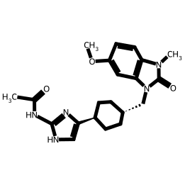 COc1ccc2c(c1)n(C[C@H]1CC[C@H](c3c[nH]c(NC(C)=O)n3)CC1)c(=O)n2C